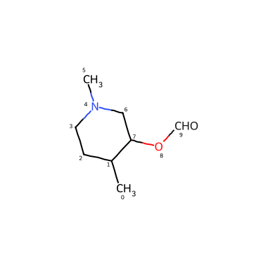 CC1CCN(C)CC1OC=O